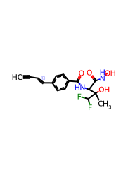 C#C/C=C/c1ccc(C(=O)NC(C(=O)NO)C(C)(O)C(F)F)cc1